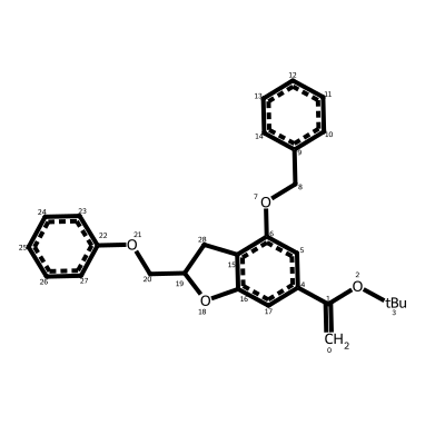 C=C(OC(C)(C)C)c1cc(OCc2ccccc2)c2c(c1)OC(COc1ccccc1)C2